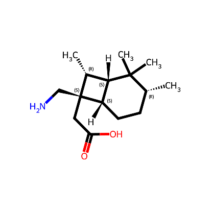 C[C@@H]1CC[C@H]2[C@H]([C@@H](C)[C@@]2(CN)CC(=O)O)C1(C)C